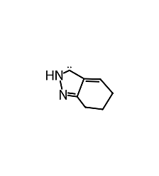 [C]1NN=C2CCCC=C12